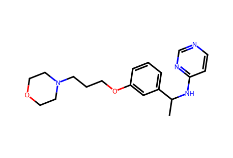 CC(Nc1ccncn1)c1cccc(OCCCN2CCOCC2)c1